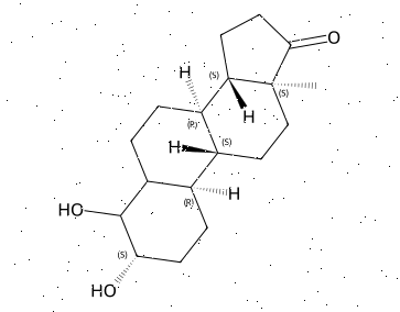 C[C@]12CC[C@H]3[C@@H](CCC4C(O)[C@@H](O)CC[C@@H]43)[C@@H]1CCC2=O